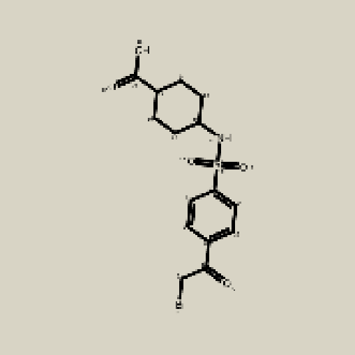 O=C(CBr)c1ccc(S(=O)(=O)NC2CCC(C(=O)O)CC2)cc1